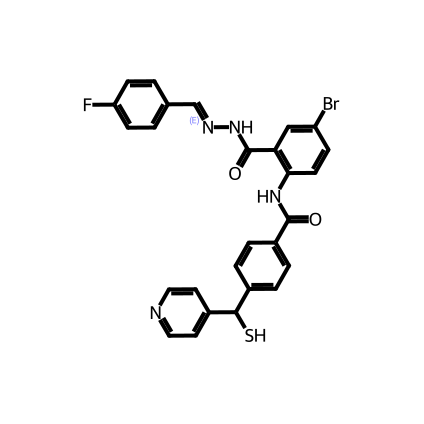 O=C(Nc1ccc(Br)cc1C(=O)N/N=C/c1ccc(F)cc1)c1ccc(C(S)c2ccncc2)cc1